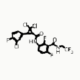 O=C(NCC(F)(F)F)c1c(F)ccc(NC(=O)C2C(c3ccc(F)c(Cl)c3)C2(Cl)Cl)c1F